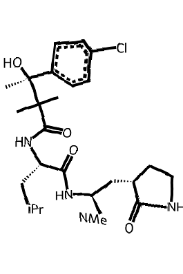 CN[C@H](C[C@@H]1CCNC1=O)NC(=O)[C@H](CC(C)C)NC(=O)C(C)(C)[C@@](C)(O)c1ccc(Cl)cc1